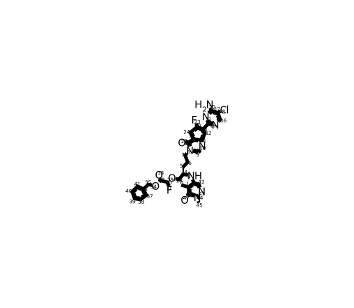 Cc1c(N[C@H](CCCn2cnc3cc(-c4ncc(Cl)c(N)n4)c(F)cc3c2=O)COC(F)C(=O)OCc2ccccc2)cnn(C)c1=O